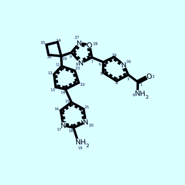 NC(=O)c1ccc(-c2nc(C3(c4ccc(-c5cnc(N)nc5)cc4)CCC3)no2)cn1